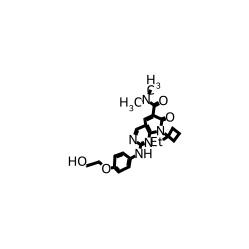 CCC1(n2c(=O)c(C(=O)N(C)C)cc3cnc(Nc4ccc(OCCO)cc4)nc32)CCC1